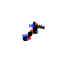 C=CC(=O)Nc1cc2c(Oc3ccc(C(=O)Nc4ccccn4)cc3)ccnc2cc1OC